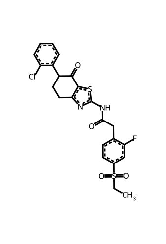 CCS(=O)(=O)c1ccc(CC(=O)Nc2nc3c(s2)C(=O)C(c2ccccc2Cl)CC3)c(F)c1